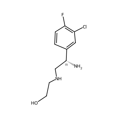 N[C@H](CNCCO)c1ccc(F)c(Cl)c1